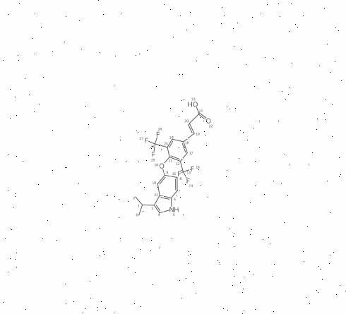 CC(C)c1c[nH]c2ccc(Oc3c(C(F)(F)F)cc(/C=C/C(=O)O)cc3C(F)(F)F)cc12